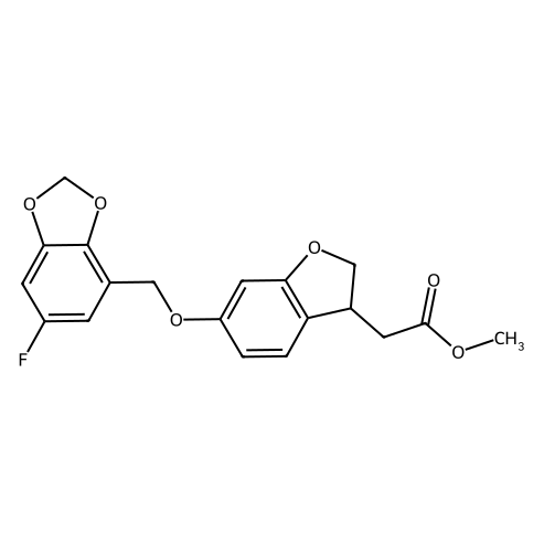 COC(=O)CC1COc2cc(OCc3cc(F)cc4c3OCO4)ccc21